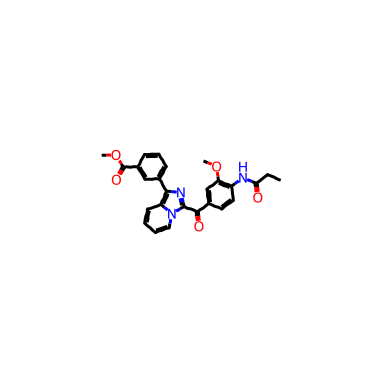 CCC(=O)Nc1ccc(C(=O)c2nc(-c3cccc(C(=O)OC)c3)c3ccccn23)cc1OC